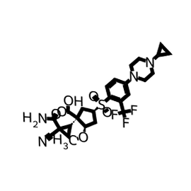 CO[C@@H]1C[C@H](S(=O)(=O)c2ccc(N3CCN(C4CC4)CC3)cc2C(F)(F)F)C[C@@]1(C(=O)O)C1CC1(C#N)C(N)=O